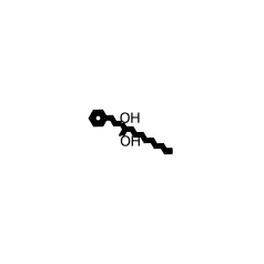 C=CCCCCCCCC(CO)C(O)CCc1ccccc1